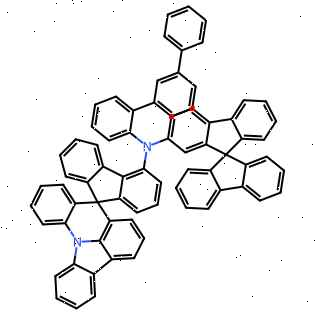 c1ccc(-c2cccc(-c3ccccc3N(c3ccc4c(c3)C3(c5ccccc5-c5ccccc53)c3ccccc3-4)c3cccc4c3-c3ccccc3C43c4ccccc4-n4c5ccccc5c5cccc3c54)c2)cc1